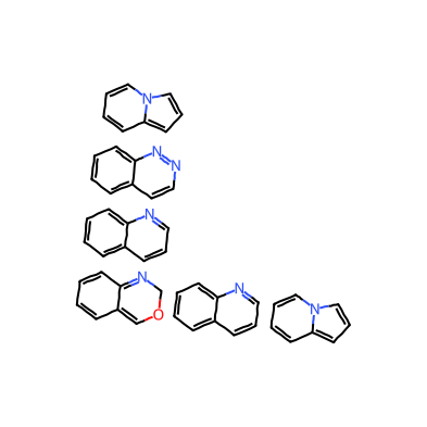 C1=c2ccccc2=NCO1.c1ccc2ncccc2c1.c1ccc2ncccc2c1.c1ccc2nnccc2c1.c1ccn2cccc2c1.c1ccn2cccc2c1